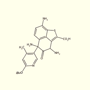 Cc1cc(OCC(C)C)ncc1C1(N)C(=O)C(N)c2c(C(=O)O)sc3c(N)ccc1c23